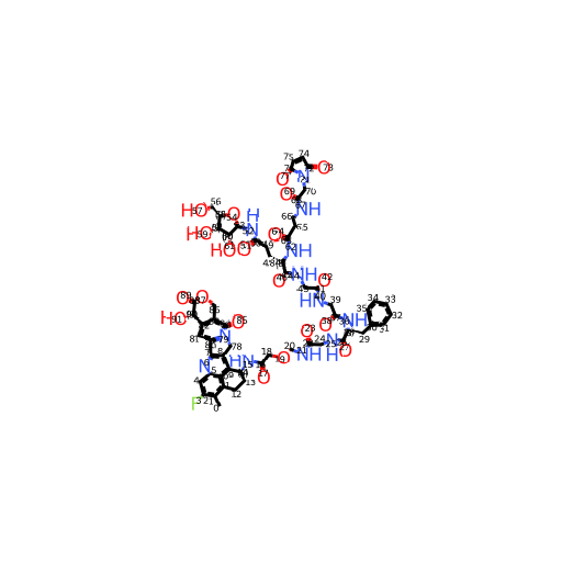 Cc1c(F)cc2nc3c(c4c2c1CC[C@@H]4NC(=O)COCNC(=O)CNC(=O)[C@H](Cc1ccccc1)NC(=O)CNC(=O)CNC(=O)[C@H](CCC(=O)NC1O[C@H](CO)[C@@H](O)[C@H]1O)NC(=O)CCNC(=O)CN1C(=O)C=CC1=O)Cn1c-3cc2c(c1=O)COC(=O)[C@H]2O